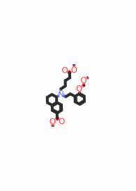 COCOc1ccccc1CCN(CCCCC(=O)OC)C1CCCc2cc(C(=O)OC)ccc21